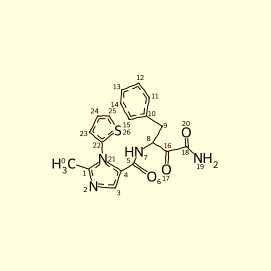 Cc1ncc(C(=O)NC(Cc2ccccc2)C(=O)C(N)=O)n1-c1cccs1